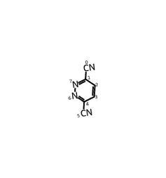 N#Cc1ccc(C#N)nn1